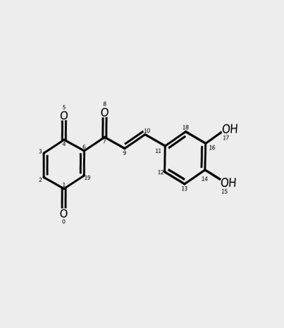 O=C1C=CC(=O)C(C(=O)C=Cc2ccc(O)c(O)c2)=C1